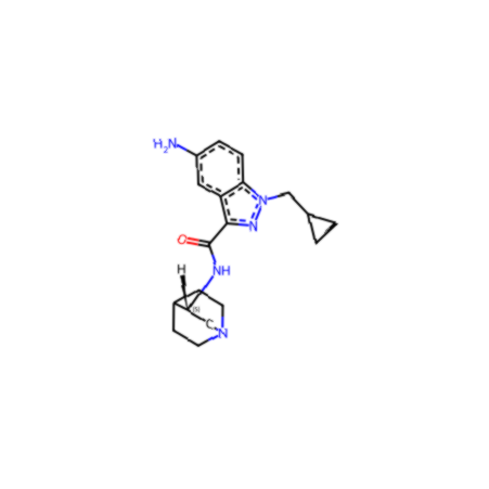 Nc1ccc2c(c1)c(C(=O)N[C@@H]1CN3CCC1CC3)nn2CC1CC1